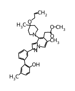 C=CCOC1(C)CCN(c2c(CC(=O)OC)c(C)cn3nc(-c4cccc(-c5cc(C)ccc5O)c4)cc23)CC1